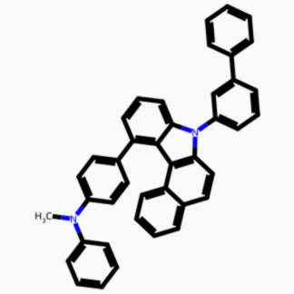 CN(c1ccccc1)c1ccc(-c2cccc3c2c2c4ccccc4ccc2n3-c2cccc(-c3ccccc3)c2)cc1